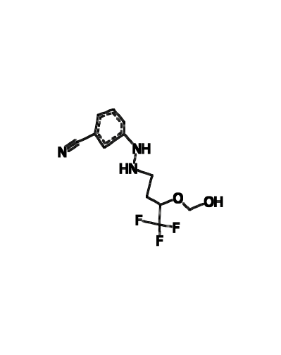 N#Cc1cccc(NNCCC(OCO)C(F)(F)F)c1